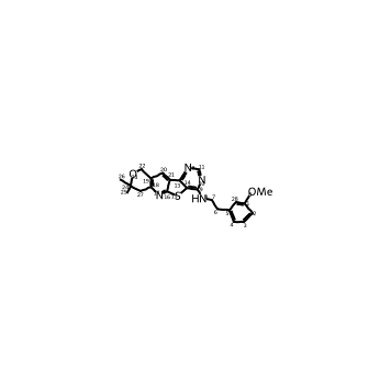 COc1cccc(CCNc2ncnc3c2sc2nc4c(cc23)COC(C)(C)C4)c1